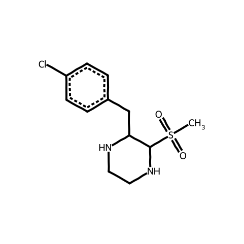 CS(=O)(=O)C1NCCNC1Cc1ccc(Cl)cc1